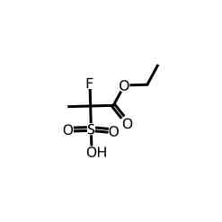 CCOC(=O)C(C)(F)S(=O)(=O)O